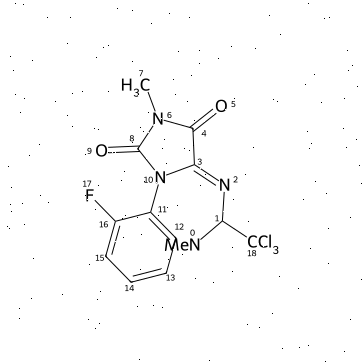 CNC(/N=C1/C(=O)N(C)C(=O)N1c1ccccc1F)C(Cl)(Cl)Cl